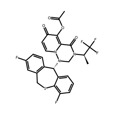 CC(=O)Oc1c2n(ccc1=O)N([C@H]1c3ccc(F)cc3CSc3c(F)cccc31)CN([C@H](C)C(F)(F)F)C2=O